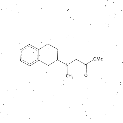 COC(=O)CN(C)C1CCc2ccccc2C1